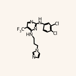 FC(F)(F)c1cnc(Nc2ccc(Cl)c(Cl)c2)nc1NCCCn1ccnc1